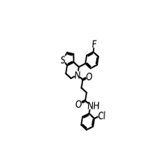 O=C(CCC(=O)N1CCc2sccc2C1c1cccc(F)c1)Nc1ccccc1Cl